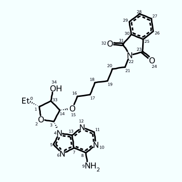 CC[C@H]1O[C@@H](n2cnc3c(N)ncnc32)[C@@H](OCCCCCCN2C(=O)c3ccccc3C2=O)C1O